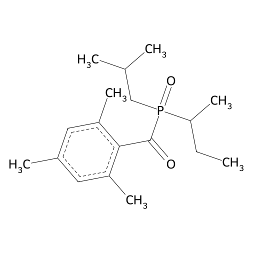 CCC(C)P(=O)(CC(C)C)C(=O)c1c(C)cc(C)cc1C